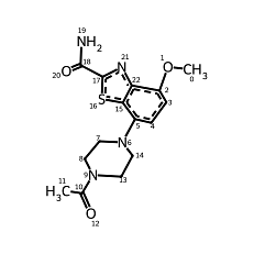 COc1ccc(N2CCN(C(C)=O)CC2)c2sc(C(N)=O)nc12